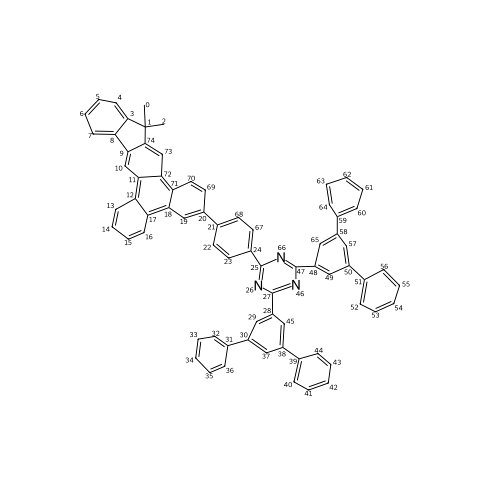 CC1(C)c2ccccc2-c2cc3c4ccccc4c4cc(-c5ccc(-c6nc(-c7cc(-c8ccccc8)cc(-c8ccccc8)c7)nc(-c7cc(-c8ccccc8)cc(-c8ccccc8)c7)n6)cc5)ccc4c3cc21